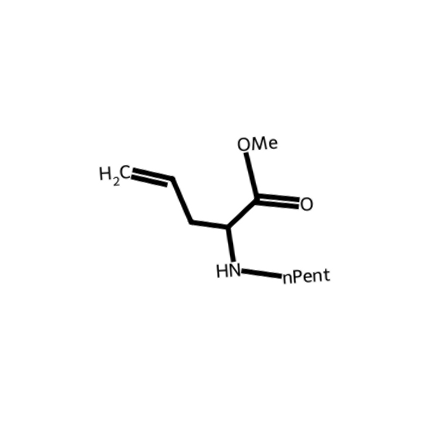 C=CCC(NCCCCC)C(=O)OC